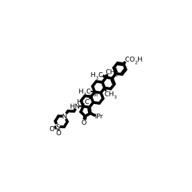 CC(C)C1=C2C3CCC4[C@@]5(C)CC=C(c6ccc(C(=O)O)cc6)C(C)(C)C5CC[C@@]4(C)[C@]3(C)CC[C@@]2(NCCN2CCS(=O)(=O)CC2)CC1=O